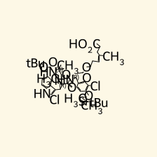 CC(=CCCOC(=O)C[C@@H](NC(=O)[C@@H](Cc1c(Cl)[nH]c2ccccc12)N(C)C(=O)[C@H](C)NC(=O)OC(C)(C)C)c1ccc(O[Si](C)(C)C(C)(C)C)c(Cl)c1)CCC(=O)O